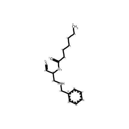 CCCCCCC(=O)OC(C=S)CNCc1ccccc1